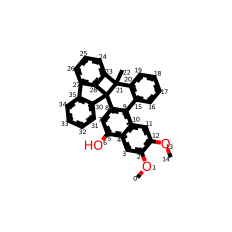 COc1cc2c(O)cc3c(c2cc1OC)-c1ccccc1C1(C)c2cccc4c2C31c1ccccc1-4